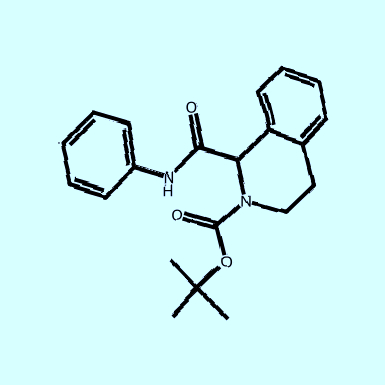 CC(C)(C)OC(=O)N1CCc2ccccc2C1C(=O)Nc1cc[c]cc1